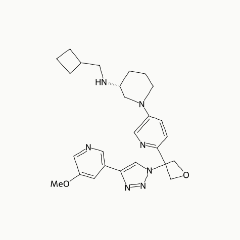 COc1cncc(-c2cn(C3(c4ccc(N5CCC[C@@H](NCC6CCC6)C5)cn4)COC3)nn2)c1